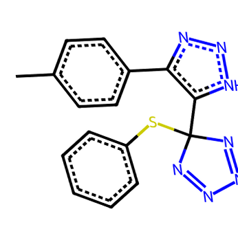 Cc1ccc(-c2nn[nH]c2C2(Sc3ccccc3)N=NN=N2)cc1